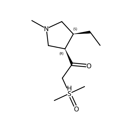 CC[C@@H]1CN(C)C[C@@H]1C(=O)C[SH](C)(C)=O